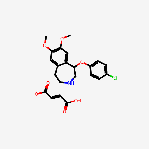 COc1cc2c(cc1OC)C(Oc1ccc(Cl)cc1)CNCC2.O=C(O)C=CC(=O)O